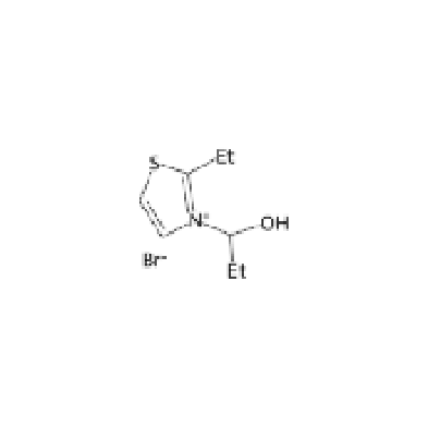 CCc1scc[n+]1C(O)CC.[Br-]